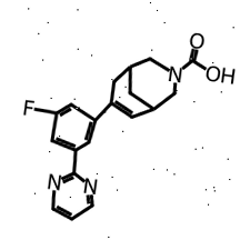 O=C(O)N1CC2C=C(c3cc(F)cc(-c4ncccn4)c3)CC(C2)C1